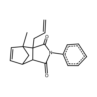 C=CCC12C(=O)N(c3ccccc3)C(=O)C1C1C=CC2(C)C1